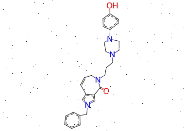 O=C1c2cn(Cc3ccccc3)cc2C=CCN1CCCN1CCN(c2ccc(O)cc2)CC1